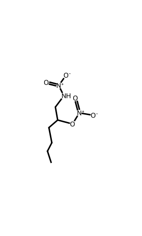 CCCCC(CN[N+](=O)[O-])O[N+](=O)[O-]